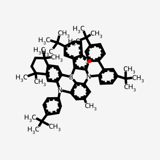 Cc1cc2c3c(c1)N(c1ccc(C(C)(C)C)cc1-c1ccc(C(C)(C)C)cc1)c1oc4ccc(C(C)(C)C)cc4c1B3c1cc3c(cc1N2c1ccc(C(C)(C)C)cc1)C(C)(C)CCC3(C)C